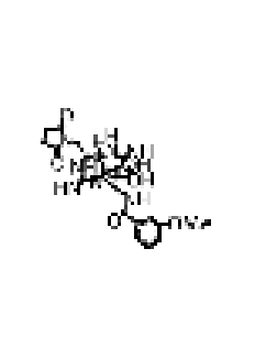 COc1cccc(C(=O)NC2CN3C(=N)N[C@@H](CN4C(=O)CCC4=O)[C@@H]4NC(=N)N[C@@]43C2(O)O)c1